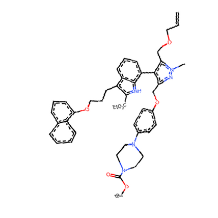 C=CCOCc1c(-c2cccc3c(CCCOc4cccc5ccccc45)c(C(=O)OCC)[nH]c23)c(COc2ccc(N3CCN(C(=O)OC(C)(C)C)CC3)cc2)nn1C